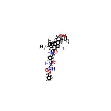 C=C(C)C1CCC2(C(=O)NCc3cccc(C(=O)NCCNC(=O)OCc4ccccc4)c3)CC[C@]3(C)C(CCC4C5(C)CCC(O)C(C)(C)C5CCC43C)C12